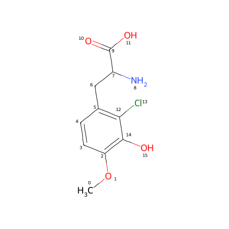 COc1ccc(CC(N)C(=O)O)c(Cl)c1O